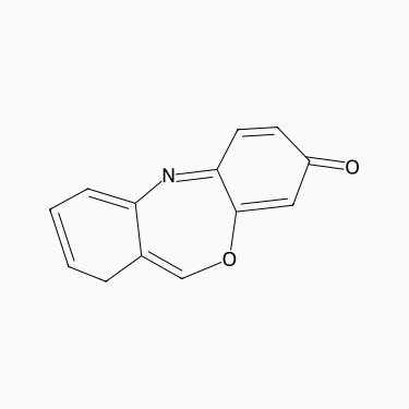 O=C1C=CC2=NC3=CC=CCC3=COC2=C1